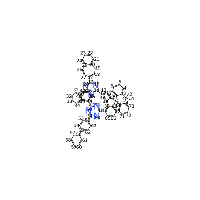 CC1(C)c2ccccc2C2(c3ccc(-c4nc(C5=CCc6ccccc6C=C5)nc(-c5ccccc5)n4)cc3-c3c(-c4nc(-c5ccccc5)nc(-c5ccc(-c6ccccc6)cc5)n4)cccc32)c2ccccc21